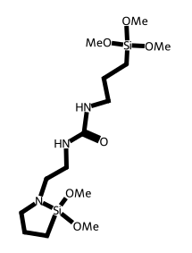 CO[Si](CCCNC(=O)NCCN1CCC[Si]1(OC)OC)(OC)OC